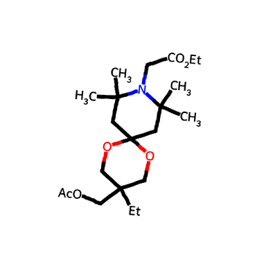 CCOC(=O)CN1C(C)(C)CC2(CC1(C)C)OCC(CC)(COC(C)=O)CO2